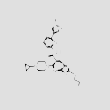 Cn1cc(-c2cccc(NC(=O)c3cc4oc(NCCO)nc4nc3N3CCN(C4CC4)CC3)n2)cn1